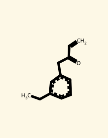 C=CC(=O)Cc1cccc(CC)c1